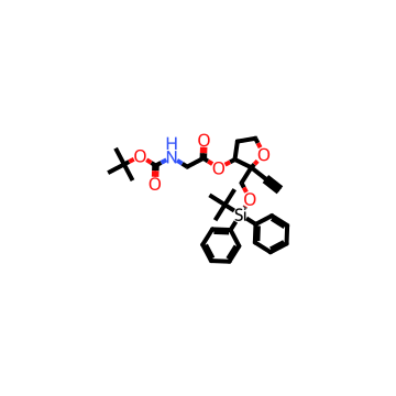 C#CC1(CO[Si](c2ccccc2)(c2ccccc2)C(C)(C)C)OCCC1OC(=O)CNC(=O)OC(C)(C)C